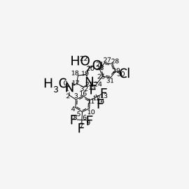 CN(Cc1cc(C(F)(F)F)cc(C(F)(F)F)c1)[C@H]1C[C@@H](C(=O)O)N(Cc2cccc(Cl)c2)C1